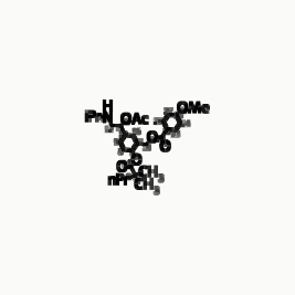 CCCC(C)(C)C(=O)Oc1ccc(C(CNC(C)C)OC(C)=O)cc1COC(=O)c1ccc(OC)cc1